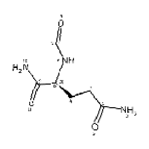 NC(=O)CC[C@H](NC=O)C(N)=O